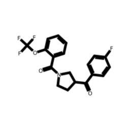 O=C(c1ccc(F)cc1)C1CCN(C(=O)c2ccccc2OC(F)(F)F)C1